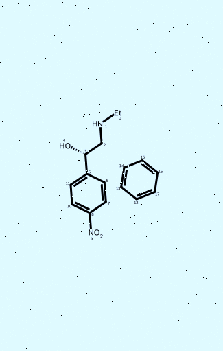 CCNC[C@@H](O)c1ccc([N+](=O)[O-])cc1.c1ccccc1